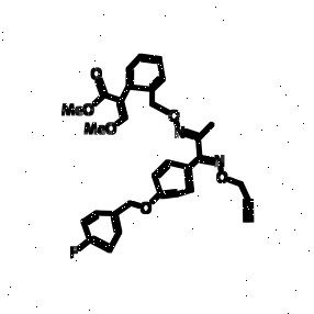 C#CCO/N=C(/C(C)=N/OCc1ccccc1/C(=C/OC)C(=O)OC)c1ccc(OCc2ccc(F)cc2)cc1